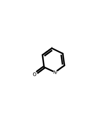 O=C1C=[C]C=C[N]1